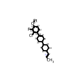 C/C=C/C1CCC(C2CC=C(c3ccc(OCC)c(F)c3Cl)CC2)CC1